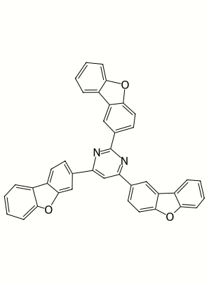 c1ccc2c(c1)oc1cc(-c3cc(-c4ccc5oc6ccccc6c5c4)nc(-c4ccc5oc6ccccc6c5c4)n3)ccc12